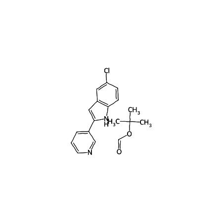 CC(C)(C)OC=O.Clc1ccc2[nH]c(-c3cccnc3)cc2c1